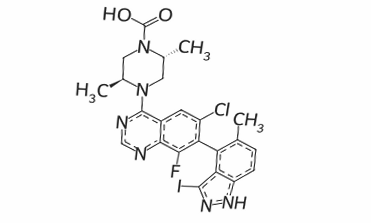 Cc1ccc2[nH]nc(I)c2c1-c1c(Cl)cc2c(N3C[C@@H](C)N(C(=O)O)C[C@@H]3C)ncnc2c1F